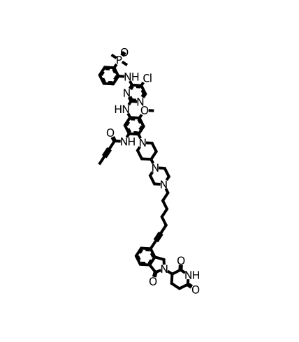 CC#CC(=O)Nc1cc(Nc2ncc(Cl)c(Nc3ccccc3P(C)(C)=O)n2)c(OC)cc1N1CCC(N2CCN(CCCCCC#Cc3cccc4c3CN(C3CCC(=O)NC3=O)C4=O)CC2)CC1